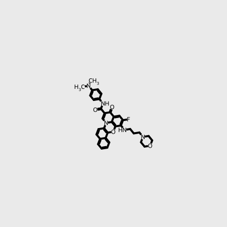 CN(C)c1ccc(NC(=O)c2cn3c4c(c(NCCCN5CCOCC5)c(F)cc4c2=O)Oc2c-3ccc3ccccc23)cc1